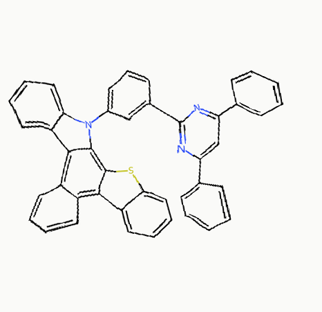 c1ccc(-c2cc(-c3ccccc3)nc(-c3cccc(-n4c5ccccc5c5c6ccccc6c6c7ccccc7sc6c54)c3)n2)cc1